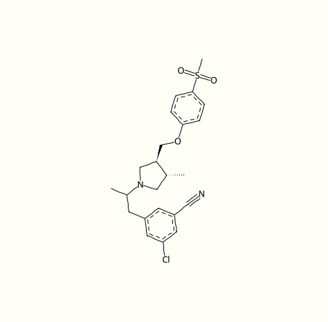 CC(Cc1cc(Cl)cc(C#N)c1)N1C[C@@H](COc2ccc(S(C)(=O)=O)cc2)[C@H](C)C1